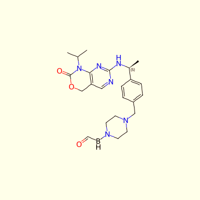 CC(C)N1C(=O)OCc2cnc(N[C@@H](C)c3ccc(CN4CCN(BC=O)CC4)cc3)nc21